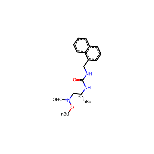 CCCCON(C=O)C[C@@H](CCCC)NC(=O)NCc1cccc2ccccc12